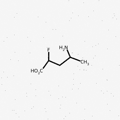 CC(N)CC(F)C(=O)O